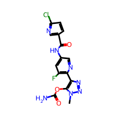 Cn1nnc(-c2ncc(NC(=O)c3ccc(Cl)nc3)cc2F)c1OC(N)=O